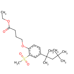 CCOC(=O)CCCOc1ccc(C(C)(C)CC(C)(C)C)cc1S(C)(=O)=O